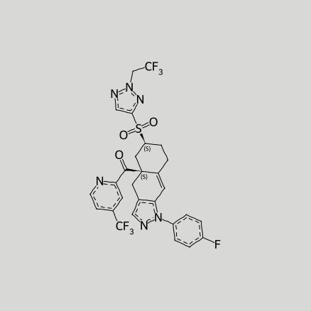 O=C(c1cc(C(F)(F)F)ccn1)[C@]12Cc3cnn(-c4ccc(F)cc4)c3C=C1CC[C@H](S(=O)(=O)c1cnn(CC(F)(F)F)n1)C2